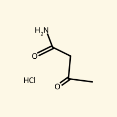 CC(=O)CC(N)=O.Cl